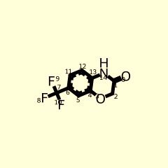 O=C1COc2cc(C(F)(F)F)ccc2N1